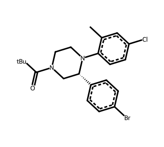 Cc1cc(Cl)ccc1N1CCN(C(=O)C(C)(C)C)C[C@H]1c1ccc(Br)cc1